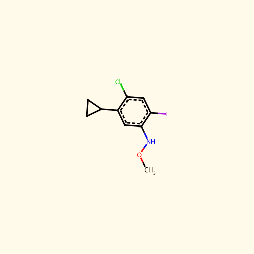 CONc1cc(C2CC2)c(Cl)cc1I